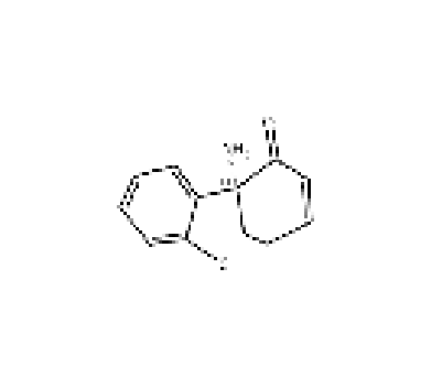 N[C@@]1(c2ccccc2Cl)CCC=CC1=O